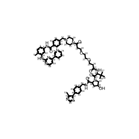 Cc1ccc(NC(=O)c2ccc(CN3CCN(C(=O)CCOCCOCCC(=O)N[C@H](C(=O)N4CC(O)CC4C(=O)NCc4ccc(-c5scnc5C)cc4)C(C)(C)C)CC3)cc2)cc1Nc1nccc(-c2cccnc2)n1